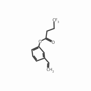 C=Cc1cccc(OC(=O)CCC(F)(F)F)c1